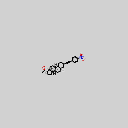 CC(=O)[C@H]1CC[C@H]2[C@@H]3CC[C@@H]4CC(C#Cc5ccc([N+](=O)[O-])cc5)CC[C@]4(C)[C@H]3CC[C@]12C